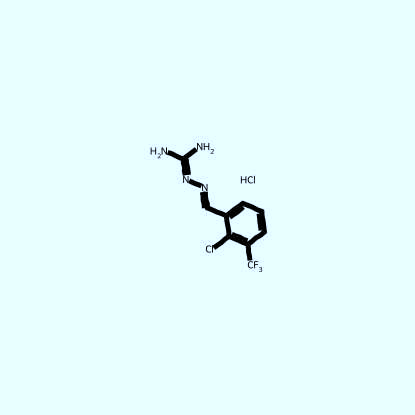 Cl.NC(N)=NN=Cc1cccc(C(F)(F)F)c1Cl